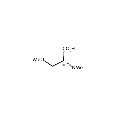 CN[C@H](COC)C(=O)O